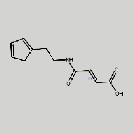 O=C(O)/C=C/C(=O)NCCC1=CC=CC1